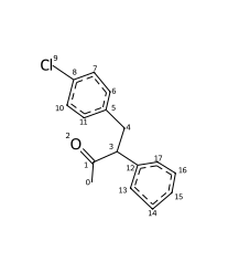 CC(=O)C(Cc1ccc(Cl)cc1)c1ccccc1